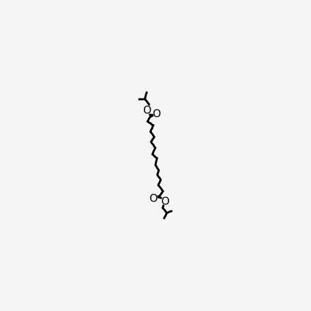 CC(C)COC(=O)CCCCCCCCCCCCCCC(=O)OCC(C)C